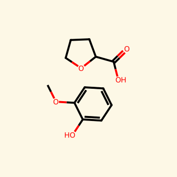 COc1ccccc1O.O=C(O)C1CCCO1